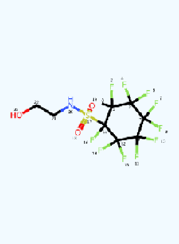 CC1(F)C(F)(F)C(F)(F)C(F)(F)C(F)(F)C1(F)S(=O)(=O)NCCO